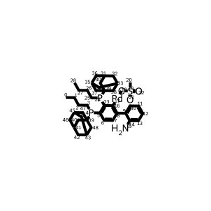 CCCCP(c1ccc(-c2ccccc2N)[c]([Pd][O]S(C)(=O)=O)c1P(CCCC)C12CC3CC(CC(C3)C1)C2)C12CC3CC(CC(C3)C1)C2